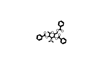 CC1OC(COC(=O)c2ccccc2)C(OC(=O)c2ccccc2)C(N(C)C)C1OC(=O)c1ccccc1